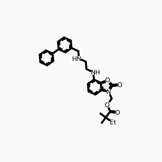 CCC(C)(C)C(=O)OCn1c(=O)oc2c(NCCNCc3cccc(-c4ccccc4)c3)cccc21